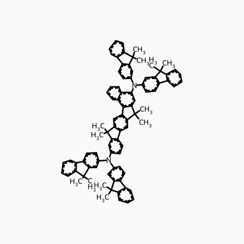 CC1(C)c2ccccc2-c2ccc(N(c3ccc4c(c3)C(C)(C)c3ccccc3-4)c3ccc4c(c3)C(C)(C)c3cc5c(cc3-4)C(C)(C)c3cc(N(c4ccc6c(c4)C(C)(C)c4ccccc4-6)c4ccc6c(c4)C(C)(C)c4ccccc4-6)c4ccccc4c3-5)cc21